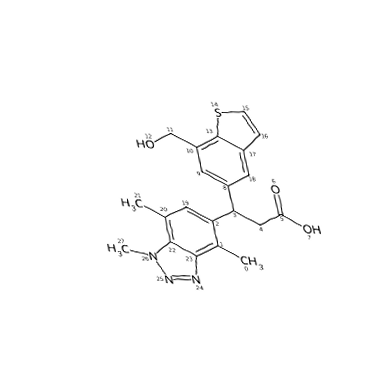 Cc1c(C(CC(=O)O)c2cc(CO)c3sccc3c2)cc(C)c2c1nnn2C